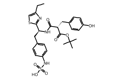 CCc1csc([C@H](Cc2ccc(NS(=O)(=O)O)cc2)NC(=O)[C@H](Cc2ccc(O)cc2)C(=O)OC(C)(C)C)n1